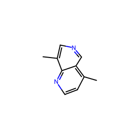 Cc1ccnc2c(C)cncc12